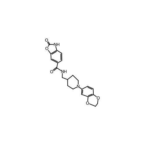 O=C(NCC1CCN(c2ccc3c(c2)OCCO3)CC1)c1ccc2[nH]c(=O)oc2c1